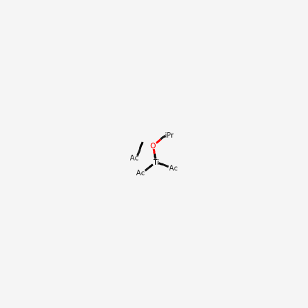 CC(C)=O.C[C](=O)[Ti]([O]C(C)C)[C](C)=O